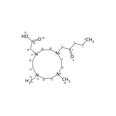 CCCC(=O)CN1CCN(C)CCN(C)CCN(CC(=O)O)CC1